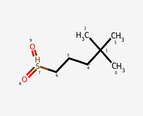 CC(C)(C)[CH]CC[SH](=O)=O